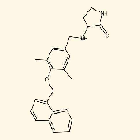 Cc1cc(CNC2CCNC2=O)cc(C)c1OCc1cccc2ccccc12